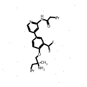 CC(C)CC(=O)Nc1cc(-c2ccc(OC[C@@](C)(N)CC(C)C)c(C(F)F)c2)ccn1